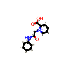 O=C(C[n+]1ccccc1C(=O)O)Nc1ccccc1